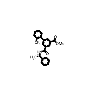 COC(=O)c1cc(C(=O)N[C@H](C)c2ccccc2)cc(-c2ccccc2C(F)(F)F)c1